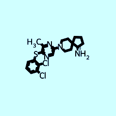 Cc1nc(N2CCC3(CCC[C@H]3N)CC2)cnc1Sc1cccc(Cl)c1Cl